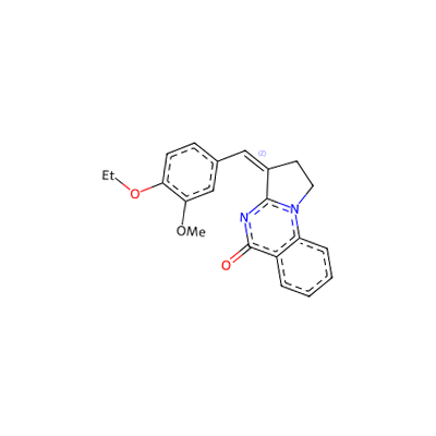 CCOc1ccc(/C=C2/CCn3c2nc(=O)c2ccccc23)cc1OC